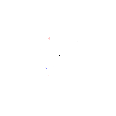 C[N+](C)(C)CCO.O=C([O-])CCCC[C@@H]1SC[C@@H]2NC(=O)N[C@@H]21